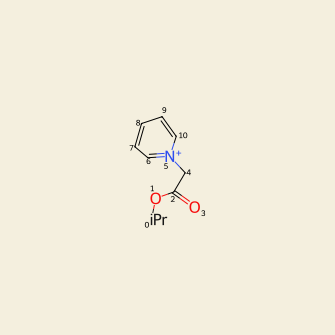 CC(C)OC(=O)C[n+]1ccccc1